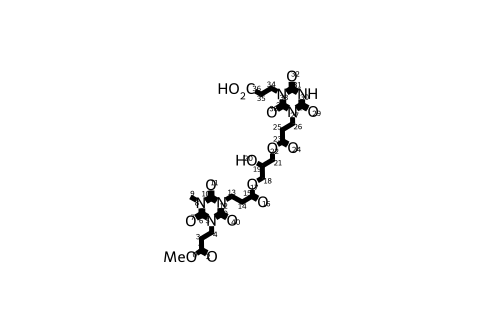 COC(=O)CCn1c(=O)n(C)c(=O)n(CCC(=O)OCC(O)COC(=O)CCn2c(=O)[nH]c(=O)n(CCC(=O)O)c2=O)c1=O